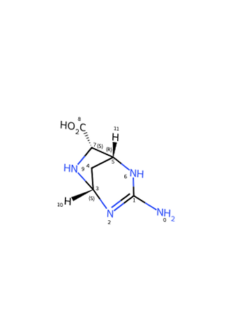 NC1=N[C@H]2C[C@@H](N1)[C@@H](C(=O)O)N2